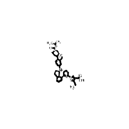 CCc1cc(NC2CCc3cccc(-c4cccc(-n5cc(C(=O)O)c(CC)n5)n4)c32)ccc1C1CCN(C(=O)OC(C)C)CC1